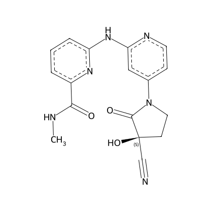 CNC(=O)c1cccc(Nc2cc(N3CC[C@](O)(C#N)C3=O)ccn2)n1